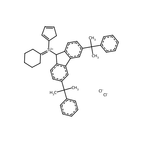 CC(C)(c1ccccc1)c1ccc2c(c1)-c1cc(C(C)(C)c3ccccc3)ccc1[CH]2[Ti+2]([C]1=CC=CC1)=[C]1CCCCC1.[Cl-].[Cl-]